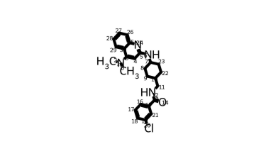 CN(C)c1cc(NC2CCC(CNC(=O)c3cccc(Cl)c3)CC2)nc2ccccc12